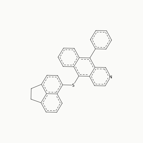 c1ccc(-c2c3ccccc3c(Sc3ccc4c5c(cccc35)CC4)c3ccncc23)cc1